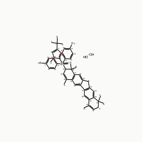 Cl.Cl.[CH2]=[Zr]([C]1=CC(C(C)(C)C)=CC1C)([c]1ccc(F)cc1)([c]1ccc(F)cc1)[CH]1C=C(C)c2cc3c(cc2C1(C)C)Cc1cc2c(cc1-3)C(C)=CCC2(C)C